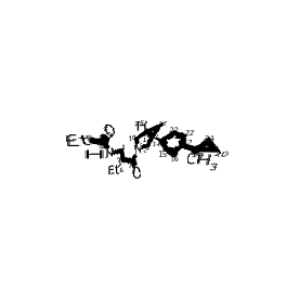 CCC(=O)NC[C@@H](CC)C(=O)N1C[C@@H]2C[C@]2(c2ccc(C3(C)CC3)cc2)C1